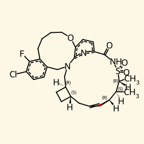 C[C@@H]1[C@@H](C)S(=O)(=O)NC(=O)c2ccc3c(n2)N(Cc2ccc(Cl)c(F)c2CCCCO3)C[C@@H]2CC[C@H]2CC2=C[C@H]1C2